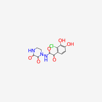 O=C(NN1CCNC(=O)C1=O)C(=O)c1ccc(O)c(O)c1Cl